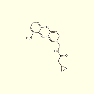 NC1=CCC=C2OC3=CCC(CNC(=O)CC4CC4)C=C3C=C12